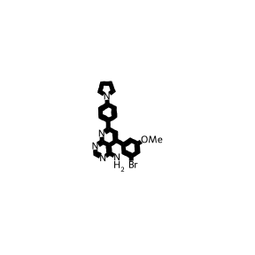 COc1cc(Br)cc(-c2cc(-c3ccc(N4CCCC4)cc3)nc3ncnc(N)c23)c1